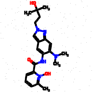 Cc1cccc(C(=O)Nc2cc3cn(CCC(C)(C)O)nc3cc2N(C)C)[n+]1O